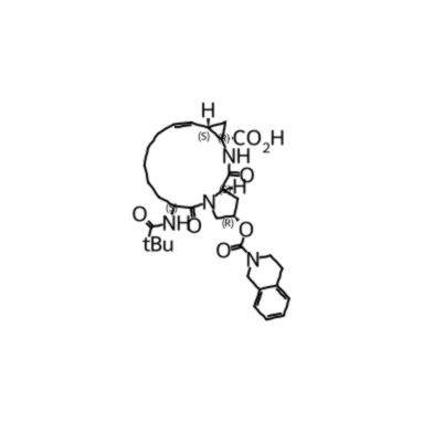 CC(C)(C)C(=O)N[C@H]1CCCCCC=C[C@@H]2C[C@@]2(C(=O)O)NC(=O)[C@@H]2C[C@@H](OC(=O)N3CCc4ccccc4C3)CN2C1=O